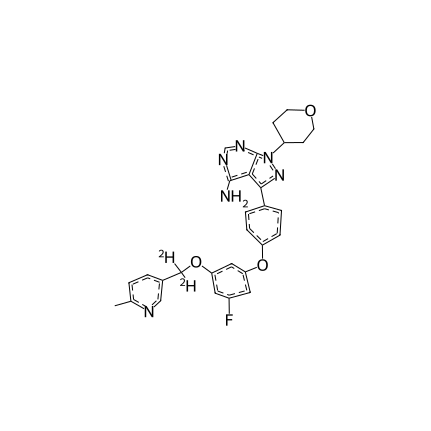 [2H]C([2H])(Oc1cc(F)cc(Oc2ccc(-c3nn(C4CCOCC4)c4ncnc(N)c34)cc2)c1)c1ccc(C)nc1